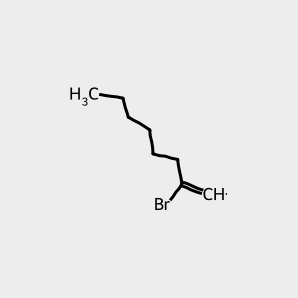 [CH]=C(Br)CCCCCC